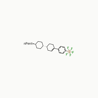 CCCCC[C@H]1CC[C@H](C2CC=C(c3ccc(S(F)(F)(F)(F)F)cc3)CC2)CC1